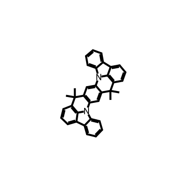 CC1(C)c2cc3c(cc2-n2c4ccccc4c4cccc1c42)C(C)(C)c1cccc2c4ccccc4n-3c12